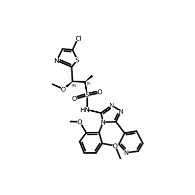 COc1cccc(OC)c1-n1c(NS(=O)(=O)[C@H](C)[C@@H](OC)c2ncc(Cl)s2)nnc1-c1cccnc1